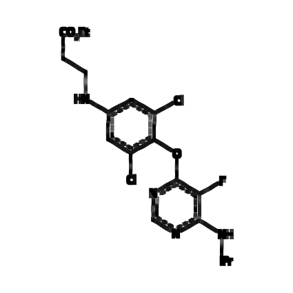 CCOC(=O)CCNc1cc(Cl)c(Oc2ncnc(NC(C)C)c2F)c(Cl)c1